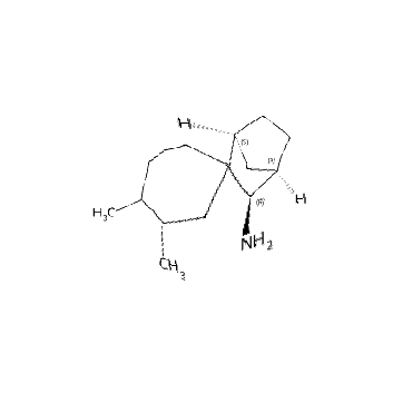 CC1CCC2(CC1C)[C@H]1CC[C@H](C1)[C@H]2N